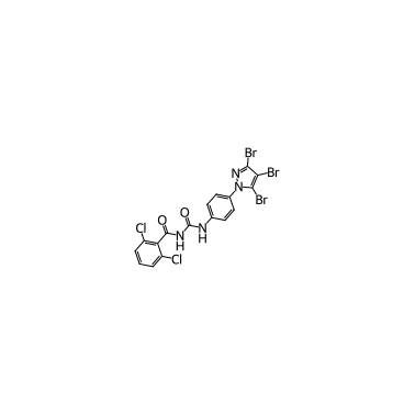 O=C(NC(=O)c1c(Cl)cccc1Cl)Nc1ccc(-n2nc(Br)c(Br)c2Br)cc1